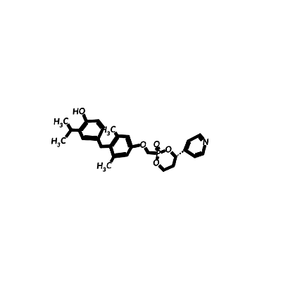 Cc1cc(OCP2(=O)OCC[C@@H](c3ccncc3)O2)cc(C)c1Cc1ccc(O)c(C(C)C)c1